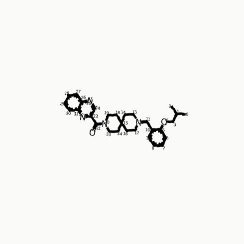 CC(C)COc1ccccc1CN1CCC2(CC1)CCN(C(=O)c1cnc3ccccc3n1)CC2